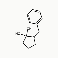 OC1(O)CCCN1Cc1ccccc1